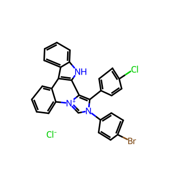 Clc1ccc(-c2c3c4[nH]c5ccccc5c4c4ccccc4[n+]3cn2-c2ccc(Br)cc2)cc1.[Cl-]